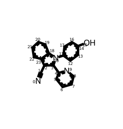 N#Cc1c(-c2ccccn2)n(-c2ccc(O)cc2)c2ccccc12